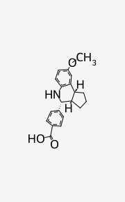 COc1ccc2c(c1)[C@@H]1CCC[C@@H]1[C@H](c1ccc(C(=O)O)cc1)N2